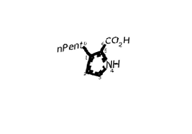 CCCCCc1cc[nH]c1C(=O)O